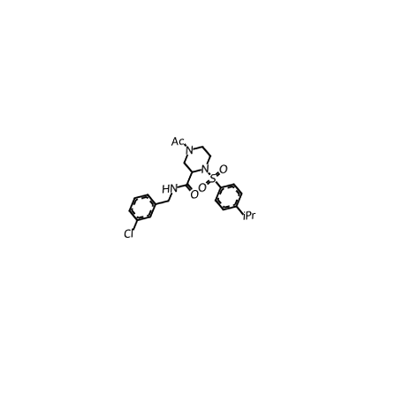 CC(=O)N1CCN(S(=O)(=O)c2ccc(C(C)C)cc2)C(C(=O)NCc2cccc(Cl)c2)C1